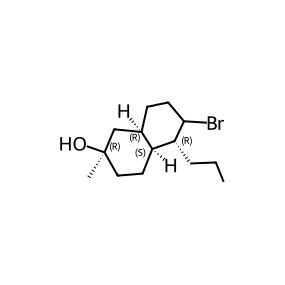 CCC[C@H]1C(Br)CC[C@@H]2C[C@](C)(O)CC[C@@H]21